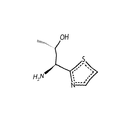 C[C@H](O)[C@H](N)c1nccs1